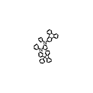 c1ccc(N(c2cccc(N(c3ccccc3)c3ccc4c5ccccc5c5ccccc5c4c3)c2)c2cccc(C3(c4ccccc4)c4ccccc4-c4ccccc43)c2)cc1